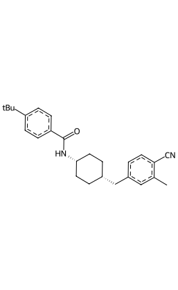 Cc1cc(C[C@H]2CC[C@@H](NC(=O)c3ccc(C(C)(C)C)cc3)CC2)ccc1C#N